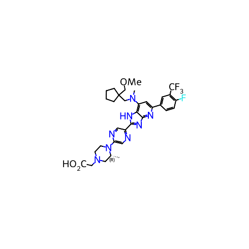 COCC1(CN(C)c2cc(-c3ccc(F)c(C(F)(F)F)c3)nc3nc(-c4cnc(N5CCN(CC(=O)O)C[C@H]5C)cn4)[nH]c23)CCCC1